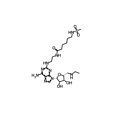 CCNC[C@H]1O[C@@H](n2cnc3c(N)nc(NCCNC(=O)CCCCCNS(C)(=O)=O)nc32)[C@H](O)[C@@H]1O